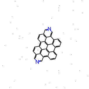 c1cc2c3cncc4ccc5c6ccc7cncc8c9cccc%10c(c1)c2c(c5c43)c(c9%10)c6c78